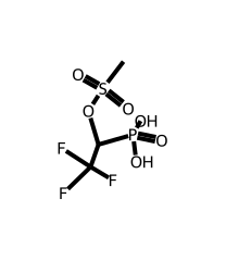 CS(=O)(=O)OC(C(F)(F)F)P(=O)(O)O